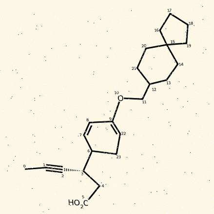 CC#C[C@@H](CC(=O)O)C1C=CC(OCC2CCC3(CCCC3)CC2)=CC1